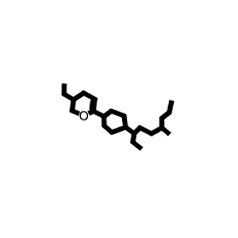 CCCC(C)CCC(CC)C1CCC(C2=CCC(CC)CO2)CC1